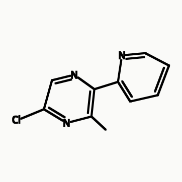 Cc1nc(Cl)cnc1-c1ccccn1